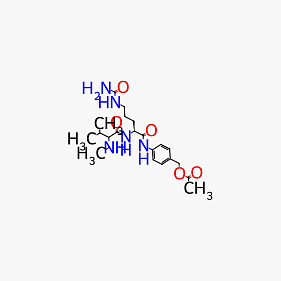 CNC(C(=O)N[C@@H](CCCNC(N)=O)C(=O)Nc1ccc(COC(C)=O)cc1)C(C)C